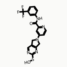 O=C(Nc1cccc(C(F)(F)F)c1)c1cc(N2Cc3cnc(SO)nc3C2)ccn1